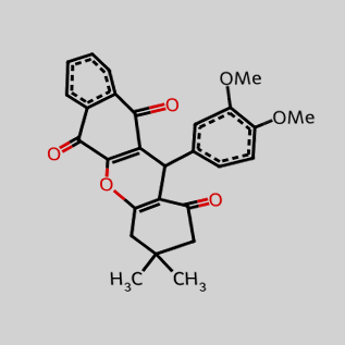 COc1ccc(C2C3=C(CC(C)(C)CC3=O)OC3=C2C(=O)c2ccccc2C3=O)cc1OC